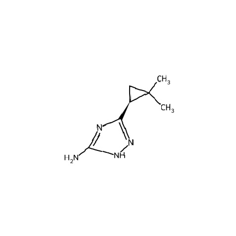 CC1(C)C[C@@H]1c1n[nH]c(N)n1